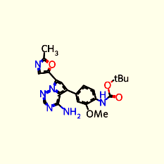 COc1cc(-c2cc(-c3cnc(C)o3)n3ncnc(N)c23)ccc1NC(=O)OC(C)(C)C